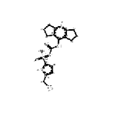 N[S@](=O)(=NC(=O)Nc1c2c(nc3c1CCC3)CCC2)c1ccn(CC(F)(F)F)n1